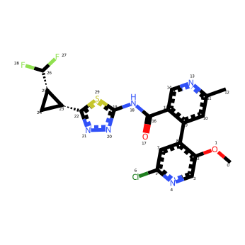 COc1cnc(Cl)cc1-c1cc(C)ncc1C(=O)Nc1nnc([C@@H]2C[C@@H]2C(F)F)s1